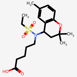 CCS(=O)(=O)N(CCCCC(=O)O)C1CC(C)(C)Oc2ccc(C)cc21